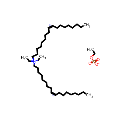 CCCCCCCC/C=C\CCCCCCCC[N+](CC)(CC)CCCCCCCC/C=C\CCCCCCCC.CCOS(=O)(=O)[O-]